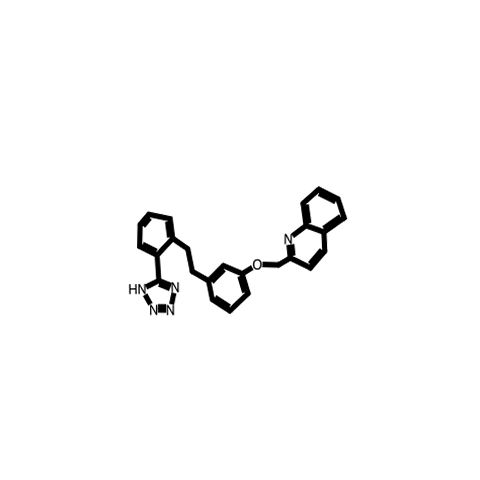 c1cc(CCc2ccccc2-c2nnn[nH]2)cc(OCc2ccc3ccccc3n2)c1